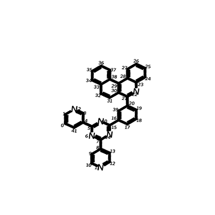 c1cncc(-c2nc(-c3ccncc3)nc(-c3cccc(-c4nc5ccccc5c5c4ccc4ccccc45)c3)n2)c1